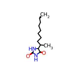 C=CCCCCCCC(C)C1NC(=O)NC1=O